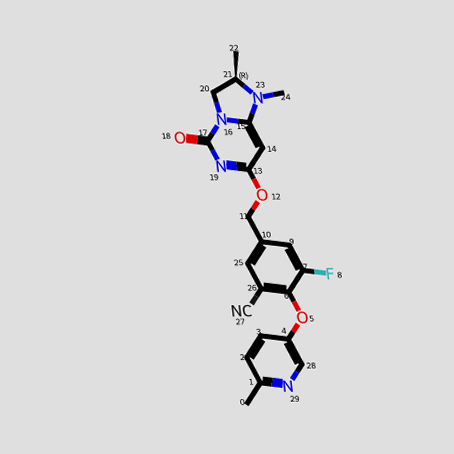 Cc1ccc(Oc2c(F)cc(COc3cc4n(c(=O)n3)C[C@@H](C)N4C)cc2C#N)cn1